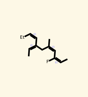 C/C=C(F)\C=C(\C)CC(/C=C\CC)=C\C